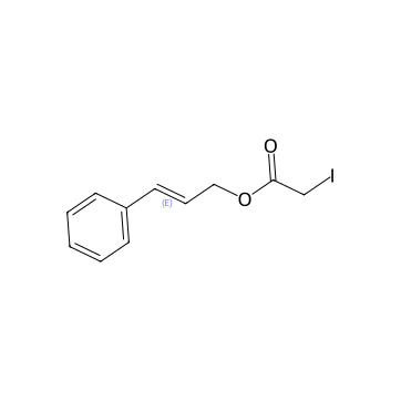 O=C(CI)OC/C=C/c1ccccc1